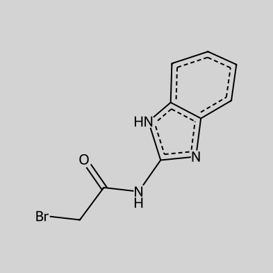 O=C(CBr)Nc1nc2ccccc2[nH]1